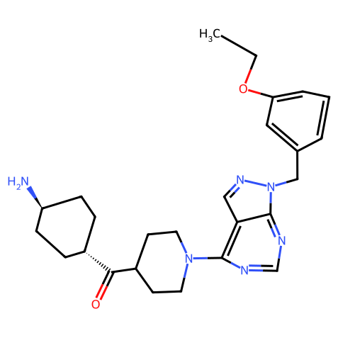 CCOc1cccc(Cn2ncc3c(N4CCC(C(=O)[C@H]5CC[C@H](N)CC5)CC4)ncnc32)c1